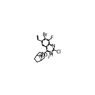 C=Cc1cc2c(N3CC4CCC(C3)N4C(=O)O)nc(Cl)nc2c(F)c1Br